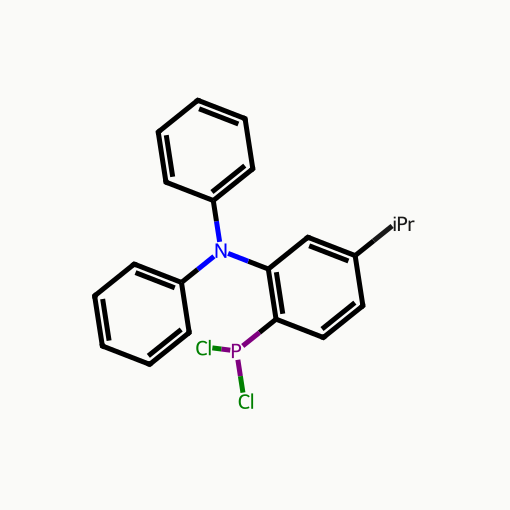 CC(C)c1ccc(P(Cl)Cl)c(N(c2ccccc2)c2ccccc2)c1